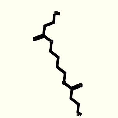 CCC(C)CCC(=O)OCCCCOC(=O)CCC(C)C